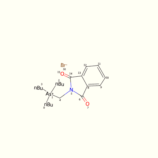 CCCC[As+](CCCC)(CCCC)CN1C(=O)c2ccccc2C1=O.[Br-]